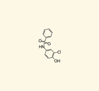 O=S(=O)(Nc1ccc(O)c(Cl)c1)c1ccccc1